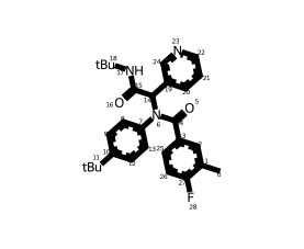 Cc1cc(C(=O)N(c2ccc(C(C)(C)C)cc2)C(C(=O)NC(C)(C)C)c2cccnc2)ccc1F